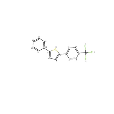 FC(F)(F)c1ccc(-c2ccc(-c3ccccc3)s2)cc1